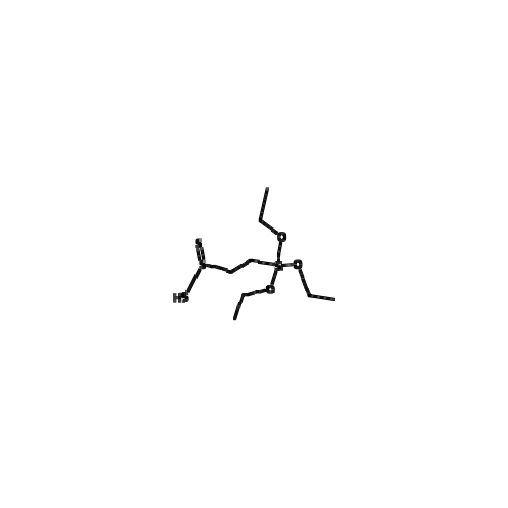 CCO[Si](CCS(=S)S)(OCC)OCC